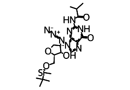 CC(C)C(=O)Nc1nc2c(ncn2[C@@]2(N=[N+]=[N-])CO[C@H](CO[Si](C)(C)C(C)(C)C)[C@@H]2O)c(=O)[nH]1